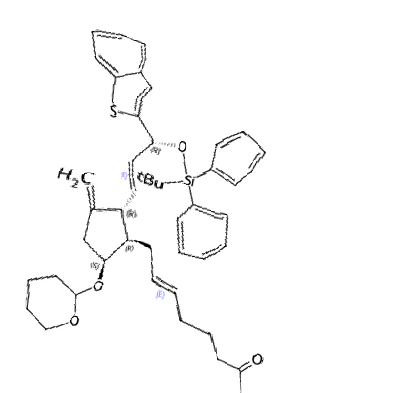 C=C1C[C@H](OC2CCCCO2)[C@H](C/C=C/CCCC(=O)OC)[C@H]1/C=C/[C@@H](O[Si](c1ccccc1)(c1ccccc1)C(C)(C)C)c1cc2ccccc2s1